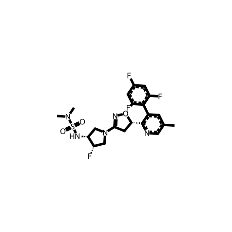 Cc1cnc([C@@H]2CC(N3C[C@H](F)[C@H](NS(=O)(=O)N(C)C)C3)=NO2)c(-c2c(F)cc(F)cc2F)c1